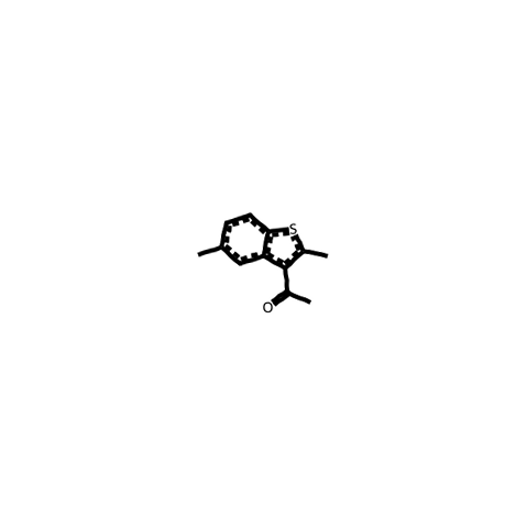 CC(=O)c1c(C)sc2ccc(C)cc12